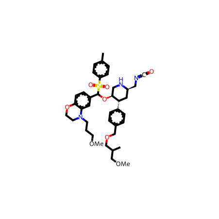 COCCCN1CCOc2ccc(C(O[C@H]3CN[C@@H](CN=C=O)C[C@@H]3c3ccc(COCC(C)COC)cc3)S(=O)(=O)c3ccc(C)cc3)cc21